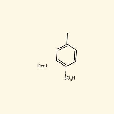 CCC[C@H](C)c1cc(C)ccc1S(=O)(=O)O